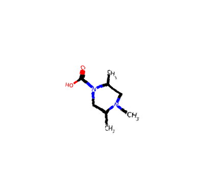 CC1CN(C(=O)O)C(C)CN1C